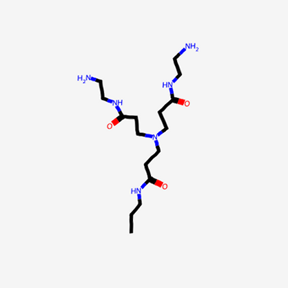 CCCNC(=O)CCN(CCC(=O)NCCN)CCC(=O)NCCN